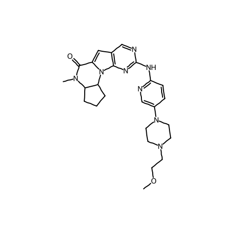 COCCN1CCN(c2ccc(Nc3ncc4cc5n(c4n3)C3CCCC3N(C)C5=O)nc2)CC1